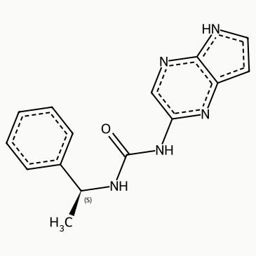 C[C@H](NC(=O)Nc1cnc2[nH]ccc2n1)c1ccccc1